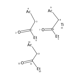 CCC(=O)CC(C)=O.CCC(=O)CC(C)=O.CCC(=O)CC(C)=O.[Ti]